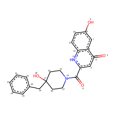 O=C(c1cc(=O)c2cc(O)ccc2[nH]1)N1CCC(O)(Cc2ccccc2)CC1